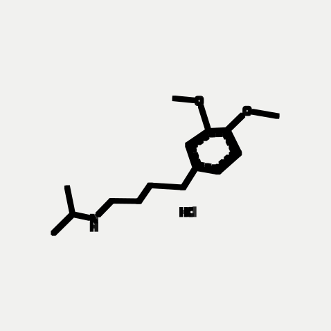 COc1ccc(CCCCNC(C)C)cc1OC.Cl